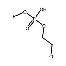 O=P(O)(OF)OCCCl